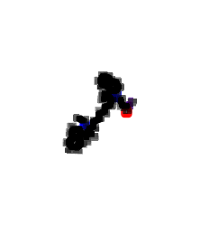 CC[N+]1=C(/C=C/C=C/C=C/C=C2/N(CCC(=O)I)c3ccc4ccccc4c3C2(C)C)C(C)(C)c2c1ccc1ccccc21